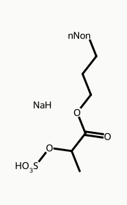 CCCCCCCCCCCCOC(=O)C(C)OS(=O)(=O)O.[NaH]